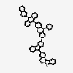 c1ccc(C2c3ccc(-c4ccc5c(c4)c4ccccc4n5-c4ccc5c(ccc6oc7ccccc7c65)c4)cc3Cc3cc(-c4c5ccccc5c(-c5ccc6ccccc6c5)c5ccccc45)ccc32)cc1